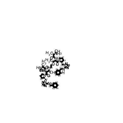 CN[C@@H](C)C(=O)N[C@H](C(=O)N1CCC[C@H]1Cn1nnnc1NCc1ccccc1)[C@@H](C)OCCO[C@H](C)[C@H](NC(=O)[C@H](C)NC)C(=O)N1CCC[C@H]1Cn1nnnc1NCc1ccccc1